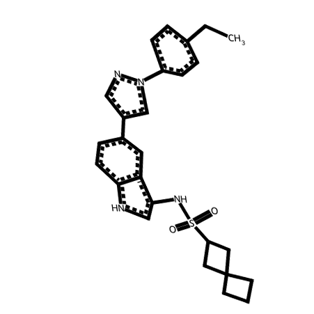 CCc1ccc(-n2cc(-c3ccc4[nH]cc(NS(=O)(=O)C5CC6(CCC6)C5)c4c3)cn2)cc1